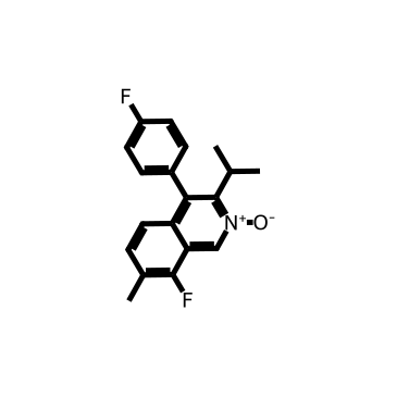 Cc1ccc2c(-c3ccc(F)cc3)c(C(C)C)[n+]([O-])cc2c1F